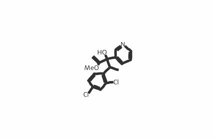 C=C(OC)C(O)(c1cccnc1)C(C)c1ccc(Cl)cc1Cl